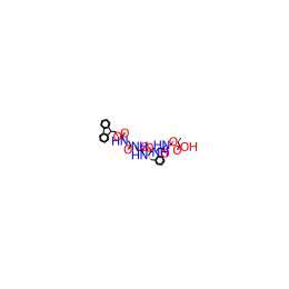 C[C@H](OCNC(=O)CNC(=O)[C@H](Cc1ccccc1)NC(=O)CNC(=O)CNC(=O)OCC1c2ccccc2-c2ccccc21)C(=O)O